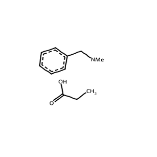 CCC(=O)O.CNCc1ccccc1